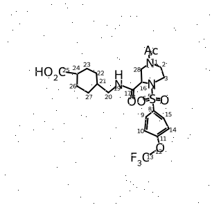 CC(=O)N1CCN(S(=O)(=O)c2ccc(OC(F)(F)F)cc2)C(C(=O)NCC2CCC(C(=O)O)CC2)C1